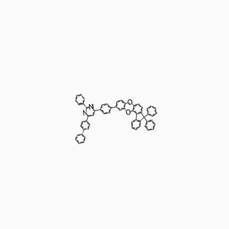 c1ccc(-c2ccc(-c3cc(-c4ccc(-c5ccc6c(c5)Oc5c(ccc7c5-c5ccccc5C7(c5ccccc5)c5ccccc5)O6)cc4)nc(-c4ccccc4)n3)cc2)cc1